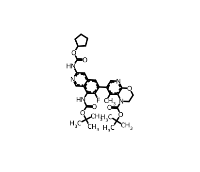 Cc1c(-c2cc3cc(NC(=O)OC4CCCC4)ncc3c(NC(=O)OC(C)(C)C)c2F)cnc2c1N(C(=O)OC(C)(C)C)CCO2